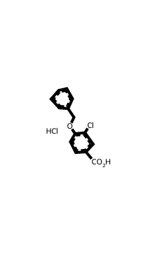 Cl.O=C(O)c1ccc(OCc2ccccc2)c(Cl)c1